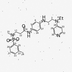 CCN(CCNc1ccc(NC(=O)CCN(C)S(=O)(=O)c2cccc(C)c2)cc1)c1ccncc1